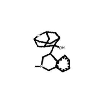 CN1Cc2ccccc2C(C2(O)C3CC4CC(C3)CC2C4)C1